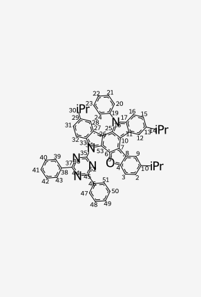 CC(C)c1ccc2oc3c(c2c1)c1c2cc(C(C)C)ccc2n(-c2ccccc2)c1c1c2cc(C(C)C)ccc2n(-c2nc(-c4ccccc4)nc(-c4ccccc4)n2)c31